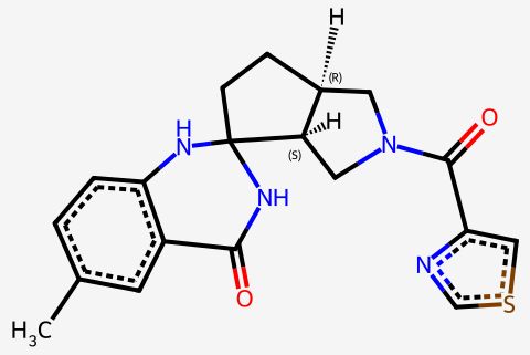 Cc1ccc2c(c1)C(=O)NC1(CC[C@H]3CN(C(=O)c4cscn4)C[C@H]31)N2